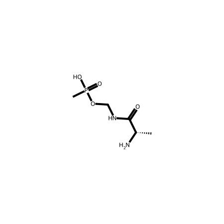 C[C@H](N)C(=O)NCOP(C)(=O)O